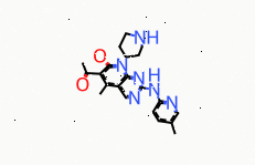 CC(=O)c1c(C)c2cnc(Nc3ccc(C)cn3)nc2n(C2CCNCC2)c1=O